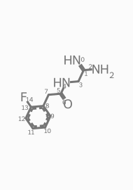 N=C(N)CNC(=O)Cc1[c]cccc1F